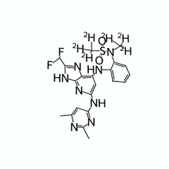 [2H]C([2H])([2H])N(c1ccccc1Nc1cc(Nc2cc(C)nc(C)n2)nc2[nH]c(C(F)F)nc12)S(=O)(=O)C([2H])([2H])[2H]